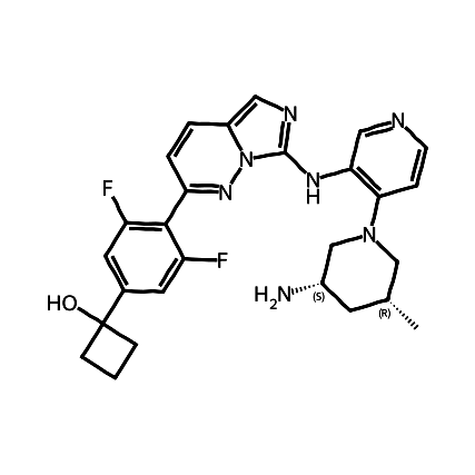 C[C@@H]1C[C@H](N)CN(c2ccncc2Nc2ncc3ccc(-c4c(F)cc(C5(O)CCC5)cc4F)nn23)C1